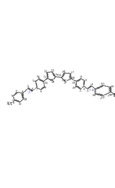 CCc1ccc(/C=C/c2ccc(-c3ccc(-c4ccc(-c5ccc(/C=C/c6ccc(CC)cc6)cc5)s4)s3)cc2)cc1